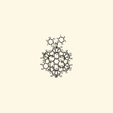 c1ccc(N(c2ccccc2)c2ccc3c(c2)c2ccccc2n3-c2c(-n3c4ccccc4c4ccccc43)c(-n3c4ccccc4c4ccccc43)c(-n3cnc4ccccc43)c(-n3c4ccccc4c4ccccc43)c2-n2c3ccccc3c3ccccc32)cc1